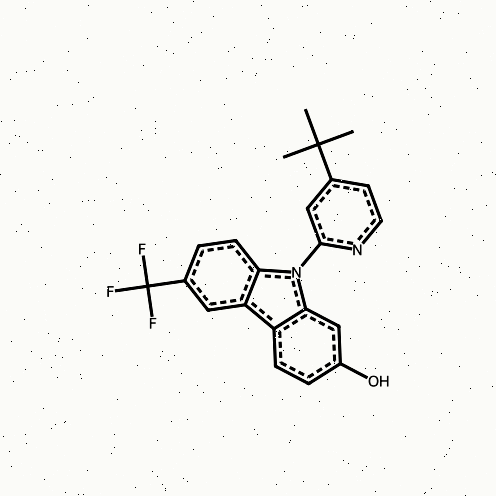 CC(C)(C)c1ccnc(-n2c3ccc(C(F)(F)F)cc3c3ccc(O)cc32)c1